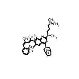 C/C(=C\C(O)=C/c1ccccc1C)c1c(Cl)cc2c(N3CC4CCC(C3)N4)nc(N(C)CCCN(C)C)nc2c1F